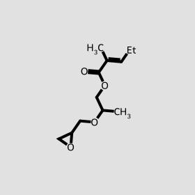 CCC=C(C)C(=O)OCC(C)OCC1CO1